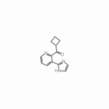 O=C(c1ncccc1-c1ncc[nH]1)C1CCC1